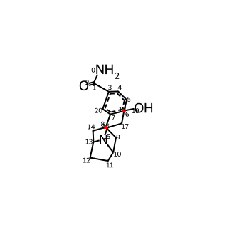 NC(=O)c1cccc(C2CC3CCC(C2)N3CCCO)c1